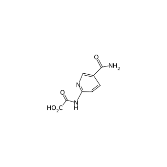 NC(=O)c1ccc(NC(=O)C(=O)O)nc1